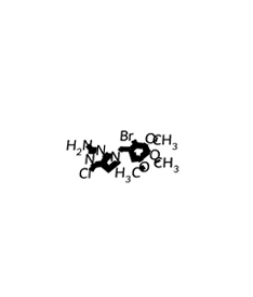 COc1cc(Cn2ccc3c(Cl)nc(N)nc32)c(Br)c(OC)c1OC